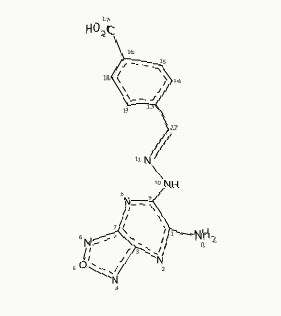 Nc1nc2nonc2nc1NN=Cc1ccc(C(=O)O)cc1